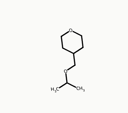 CC(C)OCC1CCOCC1